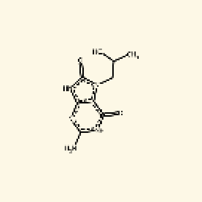 CC(O)Cn1c(=O)[nH]c2nc(N)[nH]c(=O)c21